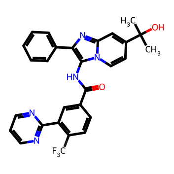 CC(C)(O)c1ccn2c(NC(=O)c3ccc(C(F)(F)F)c(-c4ncccn4)c3)c(-c3ccccc3)nc2c1